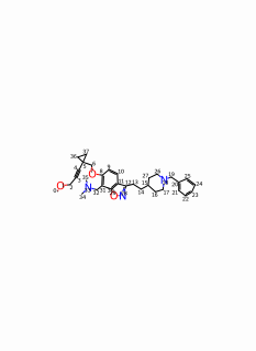 COCC#CC1(COc2ccc3c(CCC4CCN(Cc5ccccc5)CC4)noc3c2CN(C)C)CC1